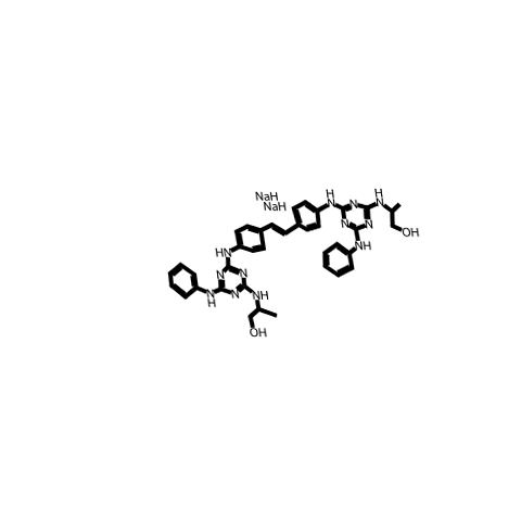 CC(CO)Nc1nc(Nc2ccccc2)nc(Nc2ccc(C=Cc3ccc(Nc4nc(Nc5ccccc5)nc(NC(C)CO)n4)cc3)cc2)n1.[NaH].[NaH]